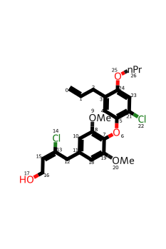 C=CCc1cc(Oc2c(OC)cc(C/C(Cl)=C\CO)cc2OC)c(Cl)cc1OCCC